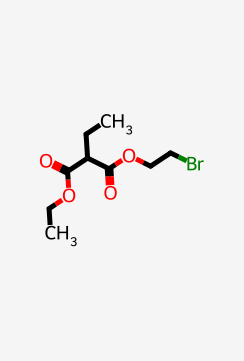 CCOC(=O)C(CC)C(=O)OCCBr